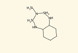 [SiH3]N1[SiH2]NC2CCCCC2N[SiH2]1